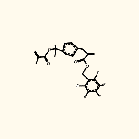 C=C(C)C(=O)OC(C)(C)c1ccc(CC(=C)C(=O)OCc2c(F)c(F)c(F)c(F)c2F)cc1